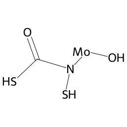 O=C(S)[N](S)[Mo][OH]